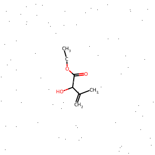 C=C(C)C(O)C(=O)OCC